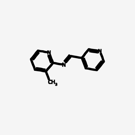 Cc1cccnc1/N=C/c1cccnc1